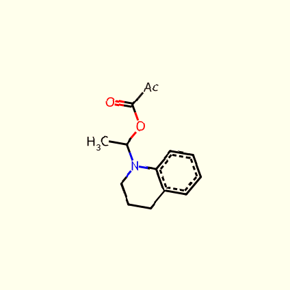 CC(=O)C(=O)OC(C)N1CCCc2ccccc21